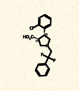 O=C(O)[C@H]1CN(CC(F)(F)c2ccccc2)C[C@H]1c1ccccc1Cl